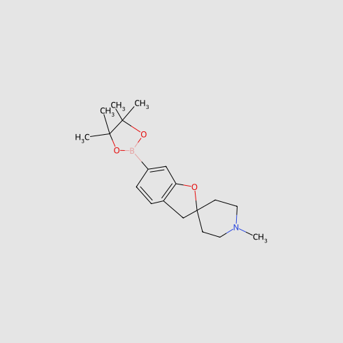 CN1CCC2(CC1)Cc1ccc(B3OC(C)(C)C(C)(C)O3)cc1O2